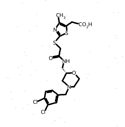 Cc1nc(SCC(=O)NC[C@H]2CN(Cc3ccc(Cl)c(Cl)c3)CCO2)sc1CC(=O)O